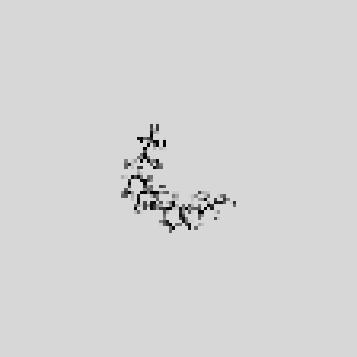 CC(Cl)(Cl)C(=O)Nc1c(F)ccc(NC(=O)c2cc(NC(=O)[C@H]3CC3(Cl)Cl)ccc2Cl)c1F